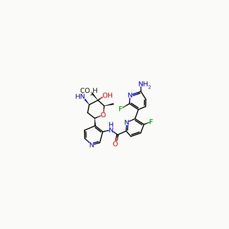 C[C@H]1O[C@@H](c2ccncc2NC(=O)c2ccc(F)c(-c3ccc(N)nc3F)n2)C[C@@H](NC(=O)O)[C@]1(C)O